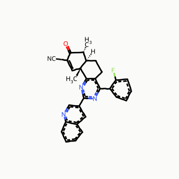 C[C@H]1C(=O)C(C#N)=C[C@@]2(C)c3nc(-c4cnc5ccccc5c4)nc(-c4ccccc4F)c3CC[C@H]12